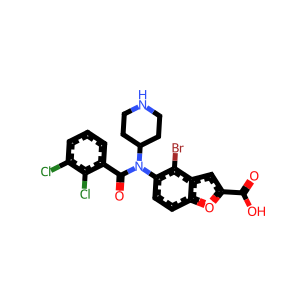 O=C(O)c1cc2c(Br)c(N(C(=O)c3cccc(Cl)c3Cl)C3CCNCC3)ccc2o1